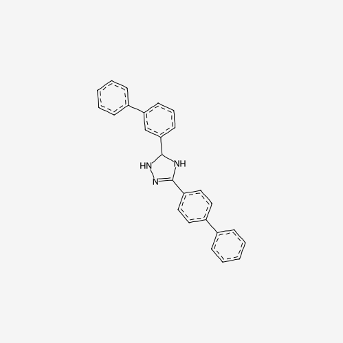 c1ccc(-c2ccc(C3=NNC(c4cccc(-c5ccccc5)c4)N3)cc2)cc1